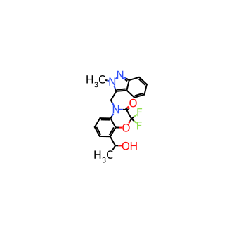 CC(O)c1cccc2c1OC(F)(F)C(=O)N2Cc1c2ccccc2nn1C